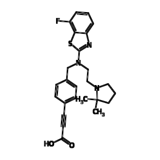 CC1(C)CCCN1CCN(Cc1ccc(C#CC(=O)O)cc1)c1nc2cccc(F)c2s1